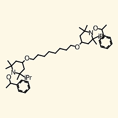 CC(ON1C(C)(C)CC(OCCCCCCCCOC2CC(C)(C)N(OC(C)c3ccccc3)C(C)(C(C)C)C2)CC1(C)C(C)C)c1ccccc1